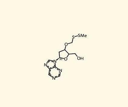 CSSCOC1C[C@H](n2cnc3cncnc32)OC1CO